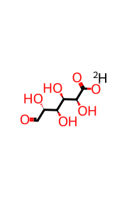 [2H]OC(=O)[C@@H](O)[C@H](O)[C@@H](O)[C@@H](O)C=O